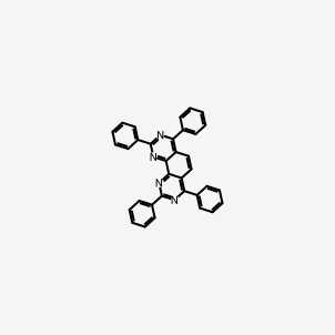 c1ccc(-c2nc(-c3ccccc3)c3ccc4c(-c5ccccc5)nc(-c5ccccc5)nc4c3n2)cc1